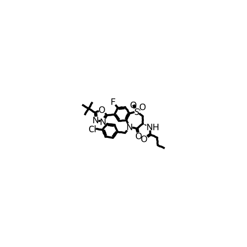 CCCC(=O)N[C@H]1CS(=O)(=O)c2cc(F)c(-c3nnc(C(C)(C)C)o3)cc2N(Cc2ccc(Cl)cc2)C1=O